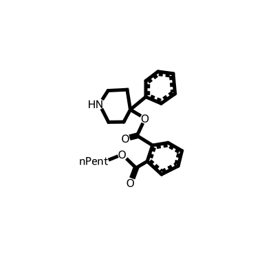 CCCCCOC(=O)c1ccccc1C(=O)OC1(c2ccccc2)CCNCC1